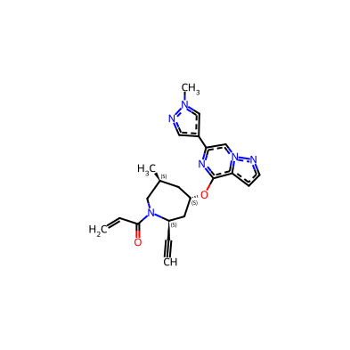 C#C[C@@H]1C[C@@H](Oc2nc(-c3cnn(C)c3)cn3nccc23)C[C@H](C)CN1C(=O)C=C